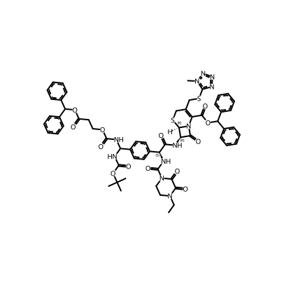 CCN1CCN(C(=O)N[C@H](C(=O)N[C@@H]2C(=O)N3C(C(=O)OC(c4ccccc4)c4ccccc4)=C(CSc4nnnn4C)CS[C@H]23)c2ccc(C(NC(=O)OCCC(=O)OC(c3ccccc3)c3ccccc3)NC(=O)OC(C)(C)C)cc2)C(=O)C1=O